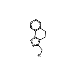 OCc1ncn2c1CCc1ccccc1-2